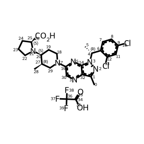 Cc1nn([C@H](C)c2ccc(Cl)cc2Cl)c2nc(N3CC[C@H](N4CCC[C@H]4C(=O)O)[C@H](C)C3)cnc12.O=C(O)C(F)(F)F